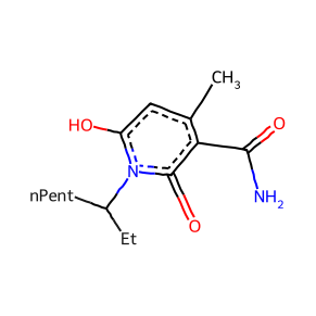 CCCCCC(CC)n1c(O)cc(C)c(C(N)=O)c1=O